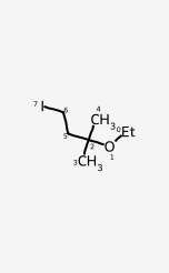 CCOC(C)(C)CCI